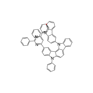 c1ccc(-c2cc(-c3ccc4c(c3)c3c(ccc5c6ccccc6n(-c6ccc7c(c6)c6ccccc6n7-c6ccccc6)c53)n4-c3ccccc3)nc(-c3ccccc3)n2)cc1